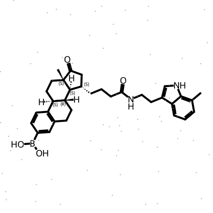 Cc1cccc2c(CCNC(=O)CCC[C@H]3CC(=O)[C@@]4(C)CC[C@@H]5c6ccc(B(O)O)cc6CC[C@H]5[C@H]34)c[nH]c12